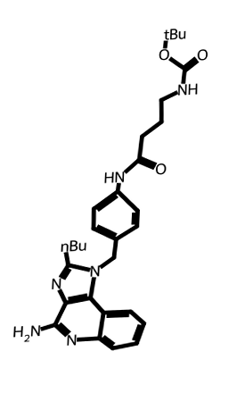 CCCCc1nc2c(N)nc3ccccc3c2n1Cc1ccc(NC(=O)CCCNC(=O)OC(C)(C)C)cc1